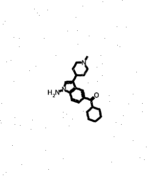 CN1CCC(c2cn(N)c3ccc(C(=O)C4CCCCC4)cc23)CC1